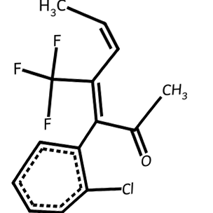 C/C=C\C(=C(/C(C)=O)c1ccccc1Cl)C(F)(F)F